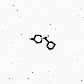 O=C1CCN(C(=O)C2CCCCC2)CC1